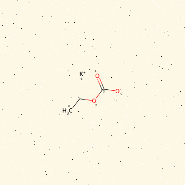 CCOC(=O)[O-].[K+]